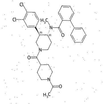 CC(=O)N1CCC(C(=O)N2CC[C@@H](N(C)C(=O)c3ccccc3-c3ccccc3)[C@H](c3ccc(Cl)c(Cl)c3)C2)CC1